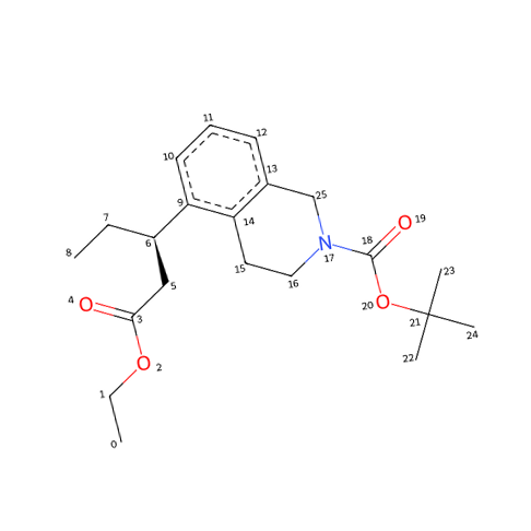 CCOC(=O)C[C@@H](CC)c1cccc2c1CCN(C(=O)OC(C)(C)C)C2